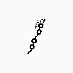 CCCC1CCC(c2ccc(CCc3ccc(-c4ccc(OCC)c(F)c4F)cc3)cc2)CC1